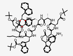 CCCC[C@H](NC(=O)[C@H](Cc1cn(C(=O)OC(C)(C)C)c2ccccc12)NC(=O)CNC(=O)[C@H](Cc1ccc(OC(C)(C)C)cc1)NC(=O)[C@H](C)NC(=O)[C@@H](CCC(=O)OC(C)(C)C)NC(=O)[C@@H](CN)NC(=O)OCC1c2ccccc2-c2ccccc21)C(=O)N[C@@H](CC(=O)OC(C)(C)C)C(=O)N[C@@H](Cc1cccc2ccccc12)C(N)=O